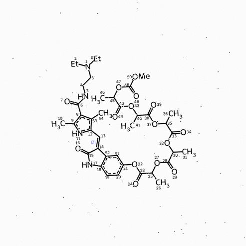 CCN(CC)CCNC(=O)c1c(C)[nH]c(/C=C2\C(=O)Nc3ccc(OC(=O)C(C)OC(=O)C(C)OC(=O)C(C)OC(=O)C(C)OC(=O)C(C)OC(=O)OC)cc32)c1C